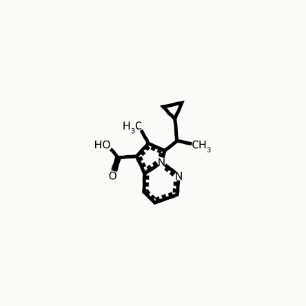 Cc1c(C(=O)O)c2cccnn2c1C(C)C1CC1